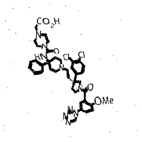 COc1ccc(-n2cnnn2)cc1C(=O)N1CC[C@@](CCN2CCC(NC(=O)N3CCN(CC(=O)O)CC3)(c3ccccc3)CC2)(c2ccc(Cl)c(Cl)c2)C1